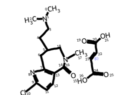 CN(C)CCC1Cc2nc(Cl)ccc2C(=O)N(C)C1.O=C(O)/C=C/C(=O)O